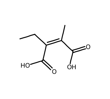 CC/C(C(=O)O)=C(\C)C(=O)O